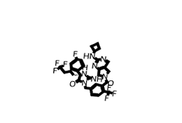 N=C1N[C@](CCCC(F)(F)F)(c2ccc(F)cc2)C(=O)N1Cc1ccc(C(F)(F)F)c(C(=O)N2Cc3cnc(NC4CCC4)nc3C2)c1